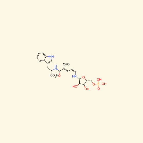 O=C/C(=C\C=C/N[C@@H]1O[C@H](COP(=O)(O)O)[C@@H](O)[C@H]1O)C(=O)N[C@@H](Cc1c[nH]c2ccccc12)C(=O)O